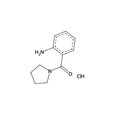 Cl.Nc1ccccc1C(=O)N1CCCC1